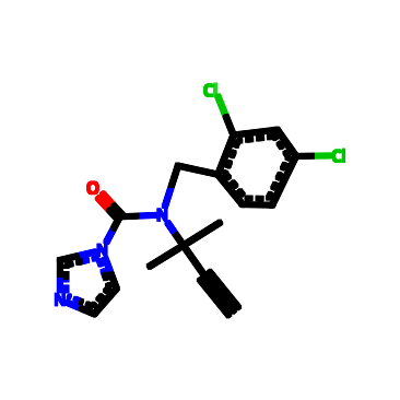 C#CC(C)(C)N(Cc1ccc(Cl)cc1Cl)C(=O)n1ccnc1